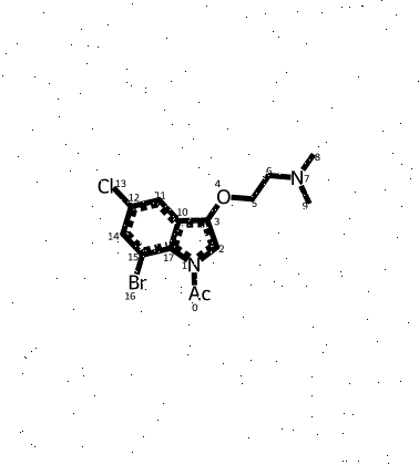 CC(=O)n1cc(OCCN(C)C)c2cc(Cl)cc(Br)c21